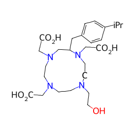 CC(C)c1ccc(CC2CN(CC(=O)O)CCN(CC(=O)O)CCN(CCO)CCN2CC(=O)O)cc1